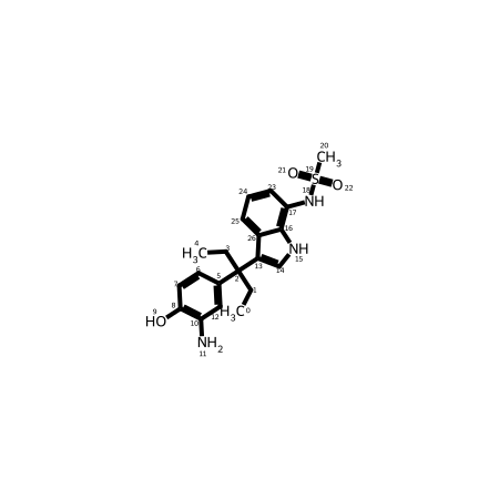 CCC(CC)(c1ccc(O)c(N)c1)c1c[nH]c2c(NS(C)(=O)=O)cccc12